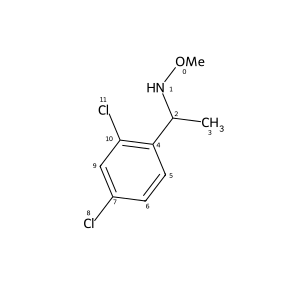 CONC(C)c1ccc(Cl)cc1Cl